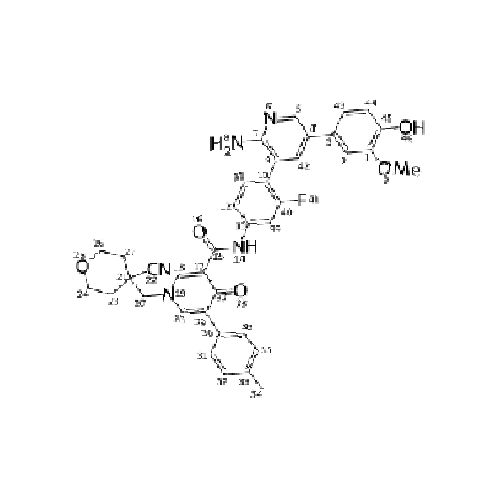 COc1cc(-c2cnc(N)c(-c3ccc(NC(=O)c4cn(CC5(C#N)CCOCC5)cc(-c5ccc(C)cc5)c4=O)cc3F)c2)ccc1O